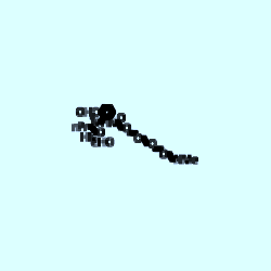 CCCC(C(=O)NC=O)N(C)Cc1c(C=O)cccc1NC(=O)COCCOCCOCCOCCNC